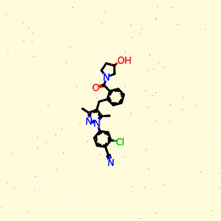 Cc1nn(-c2ccc(C#N)c(Cl)c2)c(C)c1Cc1ccccc1C(=O)N1CCC(O)C1